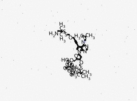 CN(C)/C=N/c1ncnc2c1c(C#CCOCSSC(C)(C)CN)cn2[C@H]1CC(OCSSC(C)(C)C)[C@@H](COP(=O)(O)OP(=O)(O)OP(=O)(O)O)O1